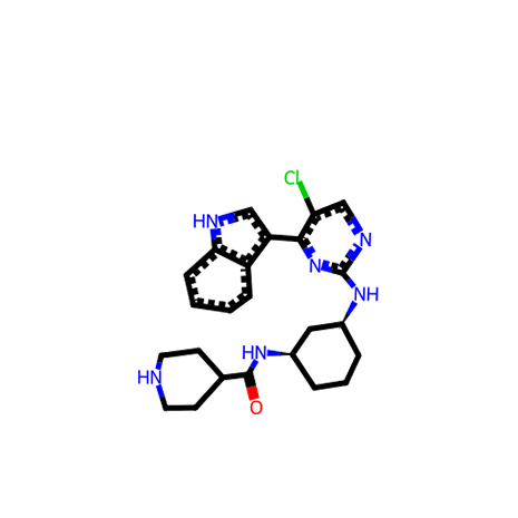 O=C(N[C@@H]1CCC[C@H](Nc2ncc(Cl)c(-c3c[nH]c4ccccc34)n2)C1)C1CCNCC1